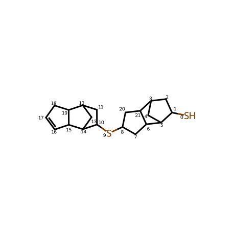 SC1CC2CC1C1CC(SC3CC4CC3C3C=CCC43)CC21